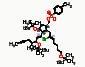 CC#CCC(C)C(/C=C/[C@@H]1[C@@H](C/C(Br)=C/CCCCO[Si](C)(C)C(C)(C)C)[C@@H](COS(=O)(=O)c2ccc(C)cc2)C[C@H]1O[Si](C)(C)C(C)(C)C)O[Si](C)(C)C(C)(C)C